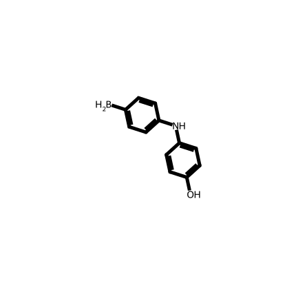 Bc1ccc(Nc2ccc(O)cc2)cc1